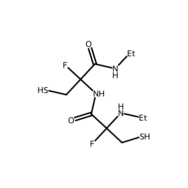 CCNC(=O)C(F)(CS)NC(=O)C(F)(CS)NCC